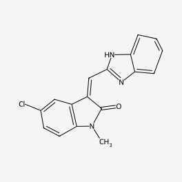 CN1C(=O)C(=Cc2nc3ccccc3[nH]2)c2cc(Cl)ccc21